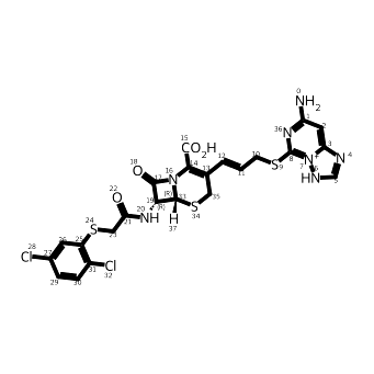 Nc1cc2nc[nH][n+]2c(SCC=CC2=C(C(=O)O)N3C(=O)[C@@H](NC(=O)CSc4cc(Cl)ccc4Cl)[C@H]3SC2)n1